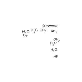 F.N.O.O.O.O.O.O.O=[N+]([O-])[O-].[La]